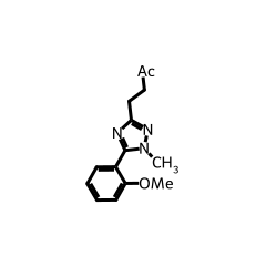 COc1ccccc1-c1nc(CCC(C)=O)nn1C